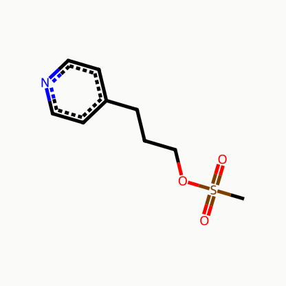 CS(=O)(=O)OCCCc1ccncc1